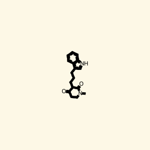 CN1CCC(=O)C(CCCc2c[nH]c3ccccc23)C1=O